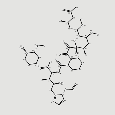 C=CC[C@@H]1C=CN=C1C[C@H](O)[C@@H](C)[C@H](OC(=O)[C@@H]1CCCCN1C(=O)C(=O)[C@]1(O)O[C@H]([C@H](C[C@@H](C)CC(=C)C)OC)[C@@H](OC)C[C@H]1C)/C(C)=C/[C@@H]1CC[C@@H](O)[C@H](OC)C1